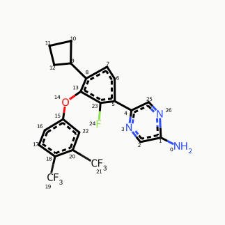 Nc1cnc(-c2ccc(C3CCC3)c(Oc3ccc(C(F)(F)F)c(C(F)(F)F)c3)c2F)cn1